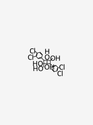 OC[C@]1(O)C(c2ccc(Cl)c(Cl)c2)[C@]2(O)C(O)C(c3ccc(Cl)c(Cl)c3)[C@@]21O